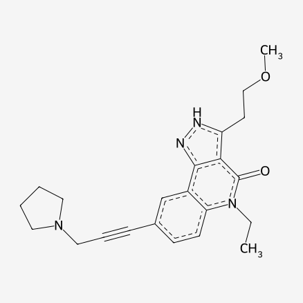 CCn1c(=O)c2c(CCOC)[nH]nc2c2cc(C#CCN3CCCC3)ccc21